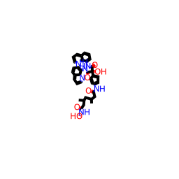 CC(CC(=O)NO)CC(C)CC(=O)Nc1ccc(C(O)(C(=O)Nc2cccc3cccnc23)C(=O)Nc2cccc3cccnc23)cc1